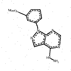 COc1cccc(-n2ncc3c(NN)ncnc32)c1